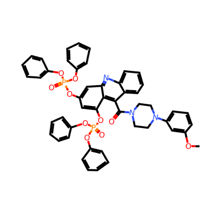 COc1cccc(N2CCN(C(=O)c3c4ccccc4nc4cc(OP(=O)(Oc5ccccc5)Oc5ccccc5)cc(OP(=O)(Oc5ccccc5)Oc5ccccc5)c34)CC2)c1